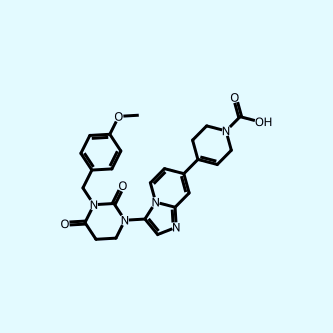 COc1ccc(CN2C(=O)CCN(c3cnc4cc(C5=CCN(C(=O)O)CC5)ccn34)C2=O)cc1